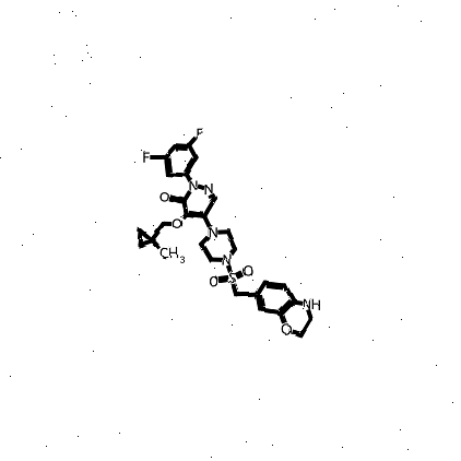 CC1(COc2c(N3CCN(S(=O)(=O)Cc4ccc5c(c4)OCCN5)CC3)cnn(-c3cc(F)cc(F)c3)c2=O)CC1